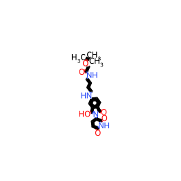 CC(C)(C)OCC(=O)NCCCCNc1ccc2c(c1)C(O)N(C1CCC(=O)NC1=O)C2=O